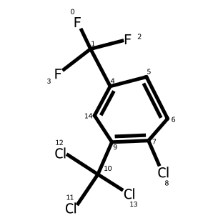 FC(F)(F)c1ccc(Cl)c(C(Cl)(Cl)Cl)c1